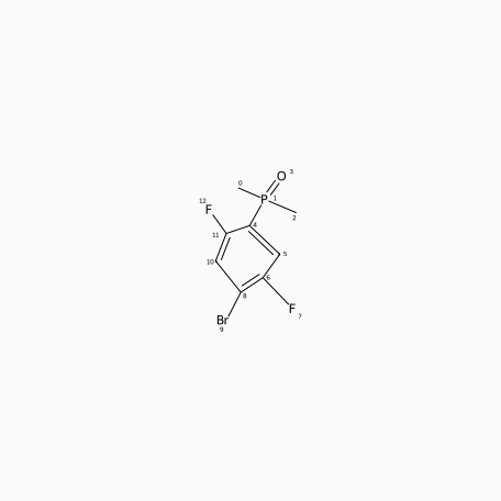 CP(C)(=O)c1cc(F)c(Br)cc1F